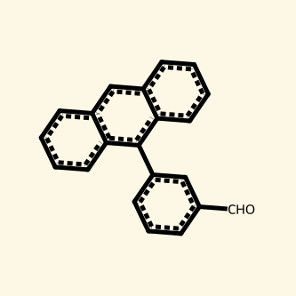 O=Cc1cccc(-c2c3ccccc3cc3ccccc23)c1